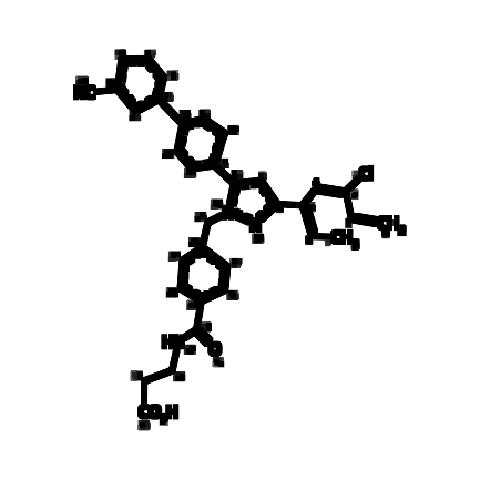 C=C/C(Cl)=C\C(=C/C)c1cc(-c2ccc(-c3cccc(C#N)c3)cc2)n(Cc2ccc(C(=O)NCCC(=O)O)cc2)n1